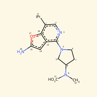 CC(C)c1cnc(N2CCC(N(C)C(=O)O)C2)c2cc(N)oc12